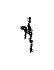 C=CC(=O)OCCCCOc1ccc(C(=O)OCCc2ccc(OC(=O)c3ccc(OCCCCOC(=O)C=C)cc3)c(/C=N/N(CCCCCC)c3nc4ccc5ccccc5c4s3)c2)cc1